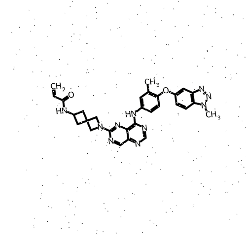 C=CC(=O)NC1CC2(C1)CN(c1ncc3ncnc(Nc4ccc(Oc5ccc6c(c5)nnn6C)c(C)c4)c3n1)C2